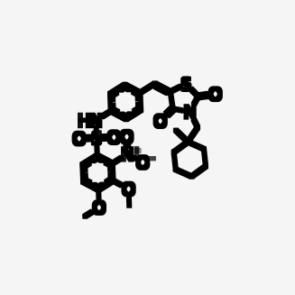 COc1ccc(S(=O)(=O)Nc2ccc(C=C3SC(=O)N(CC4(C)CCCCC4)C3=O)cc2)c([N+](=O)[O-])c1OC